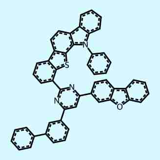 c1ccc(-c2cccc(-c3cc(-c4ccc5c(c4)oc4ccccc45)nc(-c4cccc5c4sc4c5ccc5c6ccccc6n(-c6ccccc6)c54)n3)c2)cc1